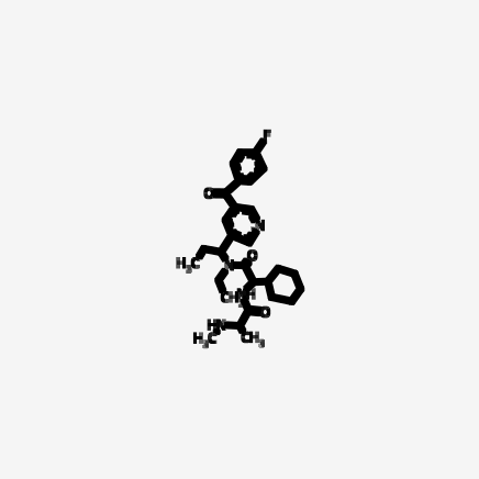 CCC(c1cncc(C(=O)c2ccc(F)cc2)c1)N(CC)C(=O)C(NC(=O)C(C)NC)C1CCCCC1